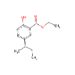 CCOC(=O)c1cc(C(C)CC)ccc1O